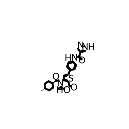 CC(C)N(c1cc(-c2ccc(NC(=O)c3cn[nH]c3)cc2)sc1C(=O)O)C(=O)[C@H]1CC[C@H](C)CC1